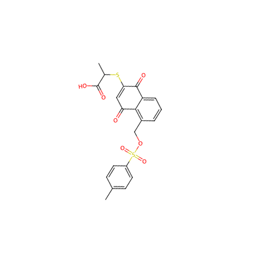 Cc1ccc(S(=O)(=O)OCc2cccc3c2C(=O)C=C(SC(C)C(=O)O)C3=O)cc1